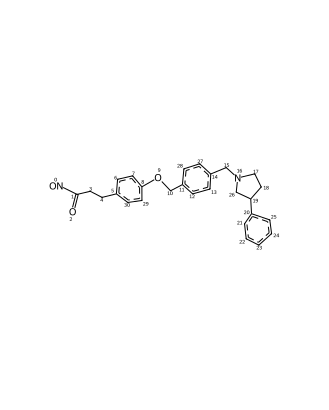 O=NC(=O)CCc1ccc(OCc2ccc(CN3CCC(c4ccccc4)C3)cc2)cc1